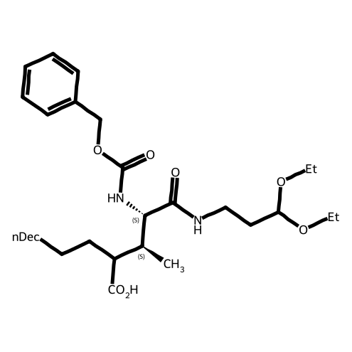 CCCCCCCCCCCCC(C(=O)O)[C@H](C)[C@H](NC(=O)OCc1ccccc1)C(=O)NCCC(OCC)OCC